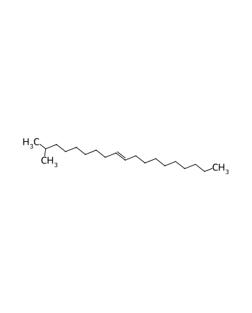 CCCCCCCCCC=CCCCCCCC(C)C